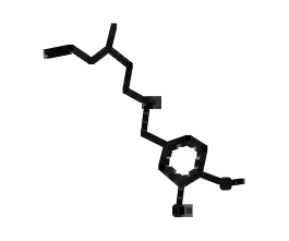 C=CCC(C)CCNCc1ccc(OC)c(O)c1